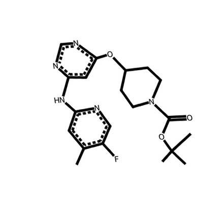 Cc1cc(Nc2cc(OC3CCN(C(=O)OC(C)(C)C)CC3)ncn2)ncc1F